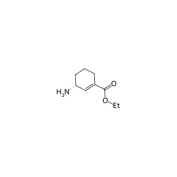 CCOC(=O)C1=C[C@H](N)CCC1